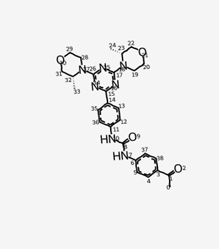 CC(=O)c1ccc(NC(=O)Nc2ccc(-c3nc(N4CCOC[C@H]4C)nc(N4CCOC[C@H]4C)n3)cc2)cc1